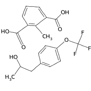 CC(O)Cc1ccc(OC(F)(F)F)cc1.Cc1c(C(=O)O)cccc1C(=O)O